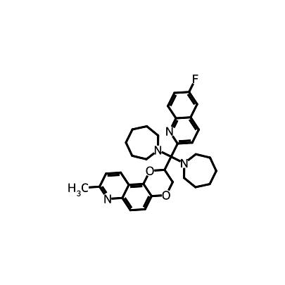 Cc1ccc2c3c(ccc2n1)OCC(C(c1ccc2cc(F)ccc2n1)(N1CCCCCC1)N1CCCCCC1)O3